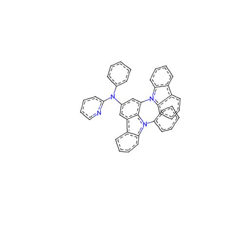 c1ccc(N(c2cc(-n3c4ccccc4c4ccccc43)c3c(c2)c2ccccc2n3-c2ccccc2)c2ccccn2)cc1